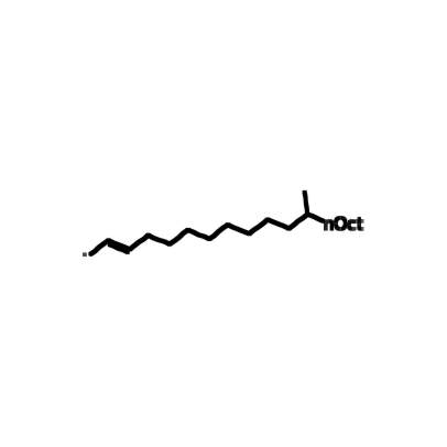 [CH2]/C=C/CCCCCCCCC(C)CCCCCCC[CH2]